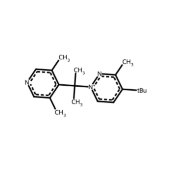 Cc1cncc(C)c1C(C)(C)[n+]1ccc(C(C)(C)C)c(C)n1